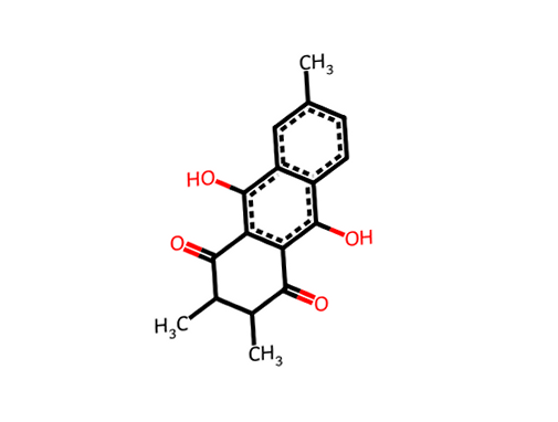 Cc1ccc2c(O)c3c(c(O)c2c1)C(=O)C(C)C(C)C3=O